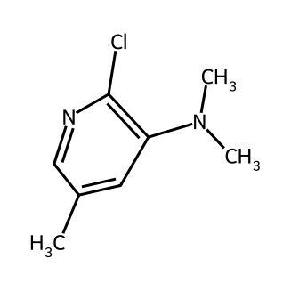 Cc1cnc(Cl)c(N(C)C)c1